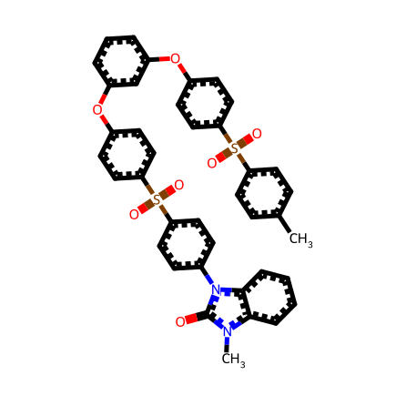 Cc1ccc(S(=O)(=O)c2ccc(Oc3cccc(Oc4ccc(S(=O)(=O)c5ccc(-n6c(=O)n(C)c7ccccc76)cc5)cc4)c3)cc2)cc1